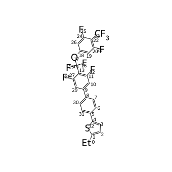 CCc1ccc(-c2ccc(-c3cc(F)c(C(F)(F)Oc4cc(F)c(C(F)(F)F)c(F)c4)c(F)c3)cc2)s1